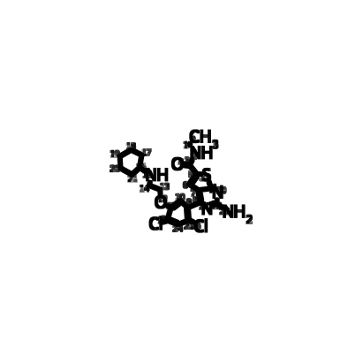 CCNC(=O)c1cc2c(-c3cc(OCCNC4CCCCC4)c(Cl)cc3Cl)nc(N)nc2s1